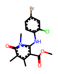 COC(=O)c1c(C)c(C)c(=O)n(C)c1Nc1ccc(Br)cc1Cl